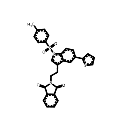 Cc1ccc(S(=O)(=O)n2cc(CCN3C(=O)c4ccccc4C3=O)c3cc(-c4cccs4)ccc32)cc1